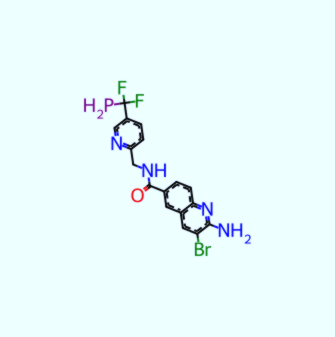 Nc1nc2ccc(C(=O)NCc3ccc(C(F)(F)P)cn3)cc2cc1Br